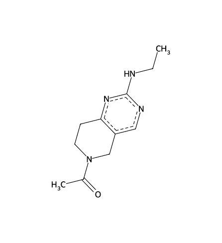 CCNc1ncc2c(n1)CCN(C(C)=O)C2